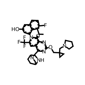 CCc1c(F)ccc2cc(O)cc(-n3c(C(F)(F)F)cc4c(N5CC6CCC5CN6)nc(OCC5(CN6CCCC6)CC5)nc4c3=O)c12